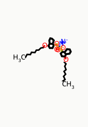 CCCCCCCCCCOc1ccc(S(=O)(=O)C(=[N+]=[N-])S(=O)(=O)c2ccc(OCCCCCCCCCC)c3ccccc23)c2ccccc12